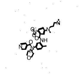 Cc1ccc(N(C(=O)c2ccncc2)N2CCOCC2)cc1NC(=O)c1cc(N(C)CCCN(C)C)ccc1[N+](=O)[O-]